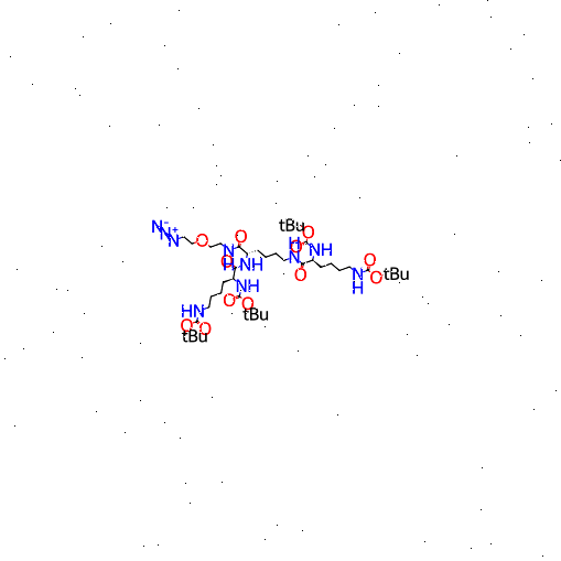 CC(C)(C)OC(=O)NCCCC[C@H](NC(=O)OC(C)(C)C)C(=O)NCCCC[C@H](NC(=O)[C@H](CCCCNC(=O)OC(C)(C)C)NC(=O)OC(C)(C)C)C(=O)NCCOCCN=[N+]=[N-]